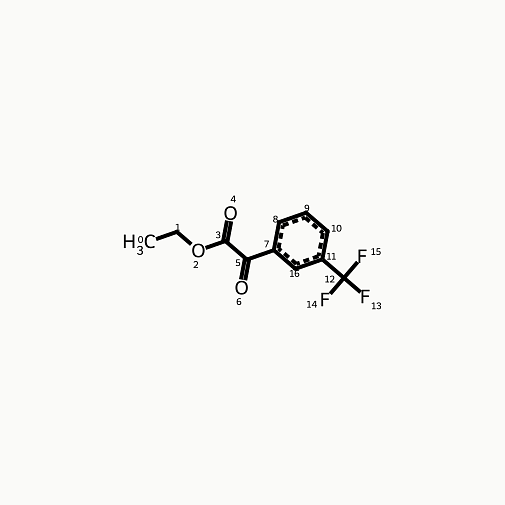 CCOC(=O)C(=O)c1cccc(C(F)(F)F)c1